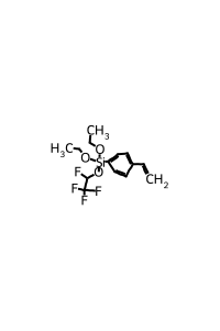 C=Cc1ccc([Si](OCC)(OCC)OC(F)C(F)(F)F)cc1